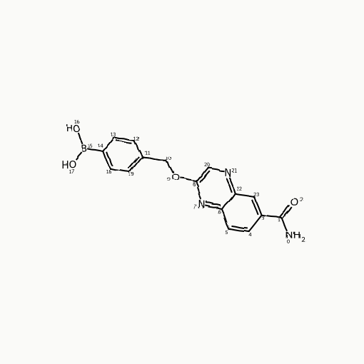 NC(=O)c1ccc2nc(OCc3ccc(B(O)O)cc3)cnc2c1